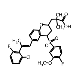 COc1cc(S(=O)(=O)C2CC(CC(C)(C)C(=O)O)Oc3ccc(/C=C(\C)c4c(F)cccc4Cl)cc32)ccc1F